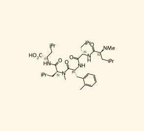 CN[C@@H](CC(C)C)C(=O)N[C@@H](CC(C)C)C(=O)N[C@H](Cc1ccccc1C)C(=O)N(C)[C@@H](CC(C)C)C(=O)N[C@@H](CC(C)C)C(=O)O